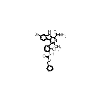 Cc1nc(C(N)=O)c2[nH]c3cc(Br)ccc3c2c1-c1cccc(NC(=O)OCc2ccccc2)c1C